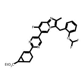 CCOC(=O)C1C2C=C(c3ncc(-c4cn5c(Cc6ccccc6OC(F)F)c(C)nc5cc4F)cn3)CCC21